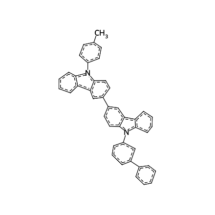 Cc1ccc(-n2c3ccccc3c3cc(-c4ccc5c(c4)c4ccccc4n5-c4cccc(-c5ccccc5)c4)ccc32)cc1